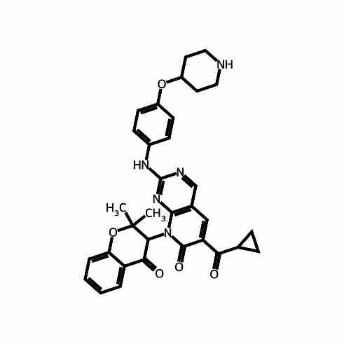 CC1(C)Oc2ccccc2C(=O)C1n1c(=O)c(C(=O)C2CC2)cc2cnc(Nc3ccc(OC4CCNCC4)cc3)nc21